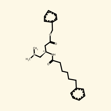 CN(C)C[C@@H](CC(=O)OCc1ccccc1)NC(=O)CCCCCc1ccccc1